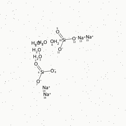 O.O.O.O.O.O=[Si]([O-])[O-].O=[Si]([O-])[O-].[Na+].[Na+].[Na+].[Na+]